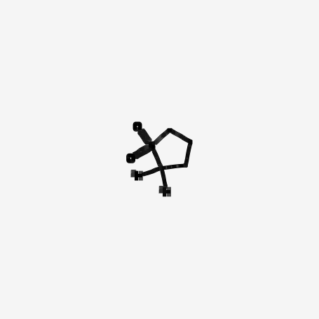 [2H]C1([2H])CCCS1(=O)=O